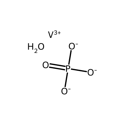 O.O=P([O-])([O-])[O-].[V+3]